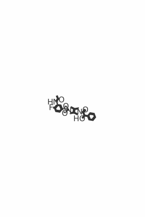 CC(=O)Nc1cc(S(=O)(=O)N2CC3=C(CN(C(=O)C(O)c4ccccc4)C3)C2)ccc1F